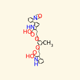 Cc1cc(OCCCc2c(C(=O)O)[nH]c3ccccc23)cc(OCCCc2c(C(=O)O)[nH]c3c(-c4ccccc4N4CCOCC4)cccc23)c1